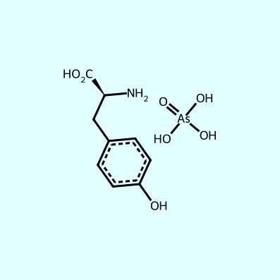 N[C@@H](Cc1ccc(O)cc1)C(=O)O.O=[As](O)(O)O